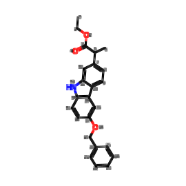 CCOC(=O)C(C)c1ccc2c(c1)[nH]c1ccc(OCc3ccccc3)cc12